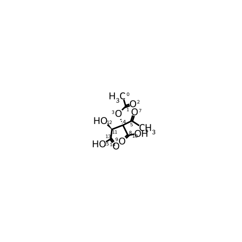 CC(=O)O[C@](C(C)=O)(C(=O)O)[C@H](O)C(=O)O